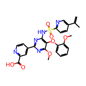 C=C(C)c1ccc(S(=O)(=O)Nc2nc(-c3ccnc(C(=O)O)c3)nc(OC)c2Oc2ccccc2OC)nc1